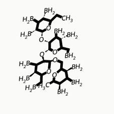 BCC1O[C@H](O[C@@H]2C(B)[C@H](B)C(CB)O[C@@H]2OCC2OC(C)[C@H](B)C(B)[C@@H]2B)[C@H](O[C@H]2OC(CC)[C@@H](B)C(B)[C@H]2B)C(B)[C@@H]1B